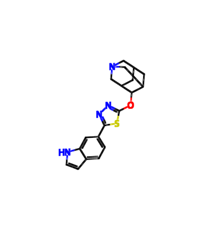 c1cc2ccc(-c3nnc(OC4C5CC6CC4CN(C6)C5)s3)cc2[nH]1